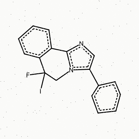 FC1(I)Cn2c(-c3ccccc3)cnc2-c2ccccc21